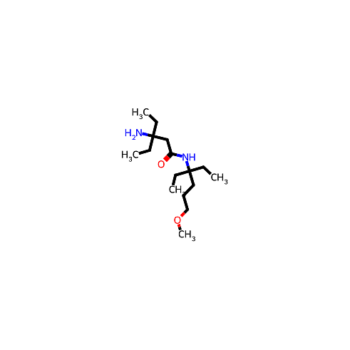 CCC(N)(CC)CC(=O)NC(CC)(CC)CCCOC